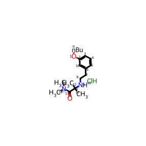 CCCCOc1cccc(CCNC(C)(C)C(=O)N(C)C)c1.Cl